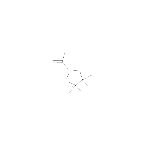 C=C(B1OC(C)(C)C(C)(C)O1)C(C)(C)C